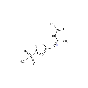 C/C(=C/c1ccn(S(C)(=O)=O)c1)NC(=O)C(C)C